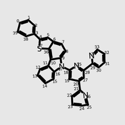 c1ccc(-c2cc3ccc4c(c5ccccc5n4-c4cc(-c5ccccn5)cc(-c5ccccn5)n4)c3s2)cc1